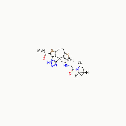 CNC(=O)c1cc2c(s1)CCc1sccc1C2(C[C@H](C)NCC(=O)N1C(C#N)C[C@@H]2C[C@@H]21)c1nn[nH]n1